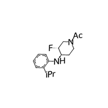 CC(=O)N1CC[C@@H](Nc2ccccc2C(C)C)[C@H](F)C1